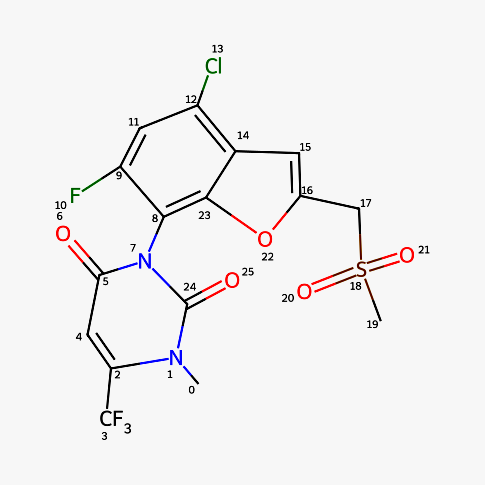 Cn1c(C(F)(F)F)cc(=O)n(-c2c(F)cc(Cl)c3cc(CS(C)(=O)=O)oc23)c1=O